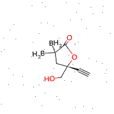 BC1(B)C[C@@](C#C)(CO)OC1=O